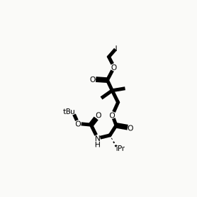 CC(C)[C@H](NC(=O)OC(C)(C)C)C(=O)OCC(C)(C)C(=O)OCI